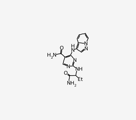 CCC(Nc1ncc(C(N)=O)c(Nc2cnn3ccccc23)n1)C(N)=O